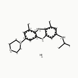 Cc1cc(NC(C)C)cc2c1Nc1c(C)cc(N3CCOCC3)cc1S2.I